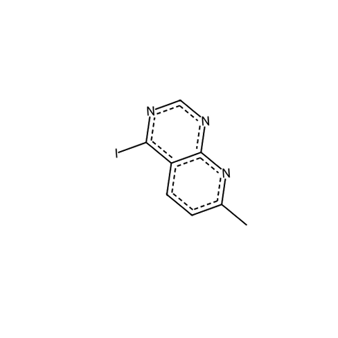 Cc1ccc2c(I)ncnc2n1